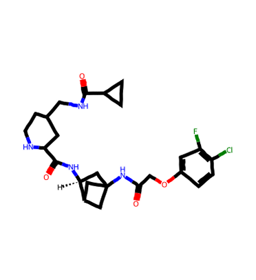 O=C(COc1ccc(Cl)c(F)c1)NC12CC(C1)[C@@H](NC(=O)C1CC(CNC(=O)C3CC3)CCN1)C2